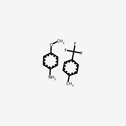 COc1ccc(N)cc1.Cc1ccc(C(F)(F)F)cc1